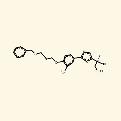 C[C@](N)(CC(=O)O)c1nnc(-c2ccc(OCCCOCc3ccccc3)c(C(F)(F)F)c2)s1